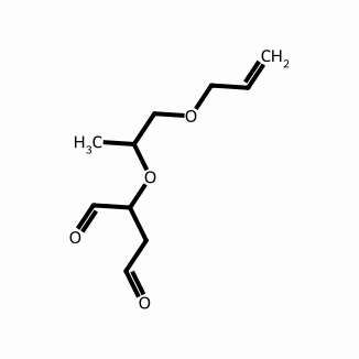 C=CCOCC(C)OC(C=O)CC=O